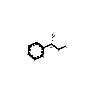 CC[C@@H](Br)c1ccccc1